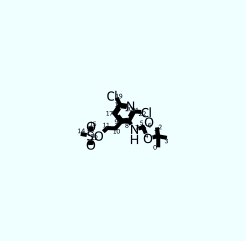 CC(C)(C)OC(=O)Nc1c(CCOS(C)(=O)=O)cc(Cl)nc1Cl